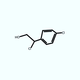 OCC(Cl)c1ccc(Cl)cc1